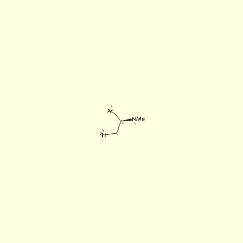 [2H]C[C@H](NC)C(C)=O